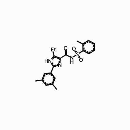 CCc1[nH]c(-c2cc(C)cc(C)c2)nc1C(=O)NS(=O)(=O)c1ccccc1C